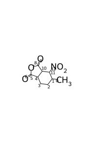 CC1CCC2C(=O)OC(=O)C2C1[N+](=O)[O-]